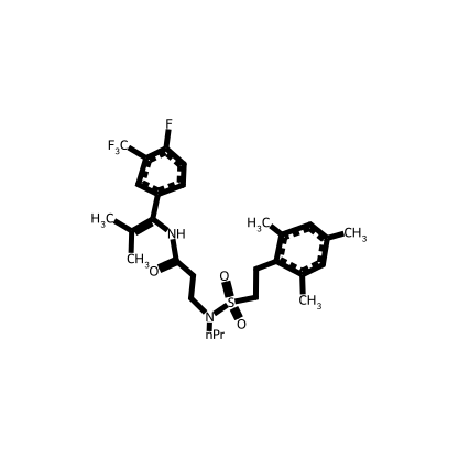 CCCN(CCC(=O)NC(=C(C)C)c1ccc(F)c(C(F)(F)F)c1)S(=O)(=O)CCc1c(C)cc(C)cc1C